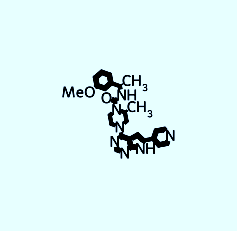 COc1cccc([C@H](C)NC(=O)N2CCN(c3ncnc4[nH]c(-c5ccncc5)cc34)C[C@@H]2C)c1